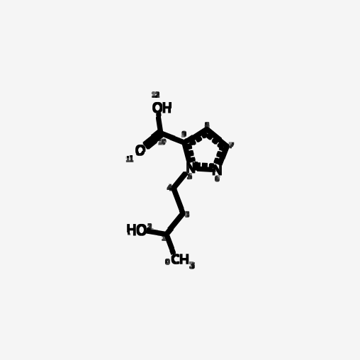 CC(O)CCn1nccc1C(=O)O